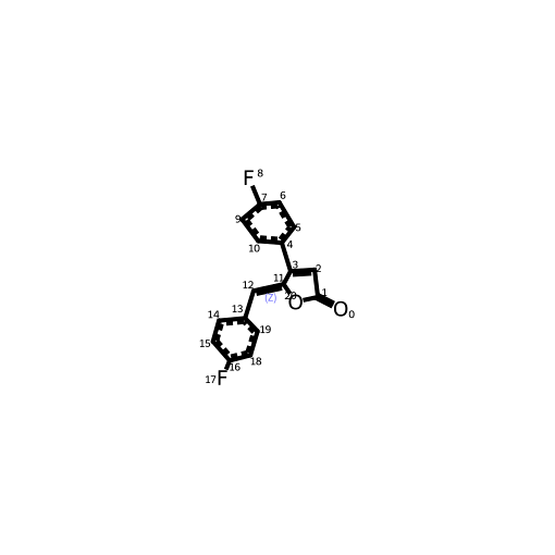 O=C1C=C(c2ccc(F)cc2)/C(=C/c2ccc(F)cc2)O1